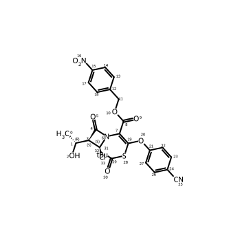 C[C@@H](O)[C@H]1C(=O)N(C(C(=O)OCc2ccc([N+](=O)[O-])cc2)=C(Oc2ccc(C#N)cc2)SC(=O)C(C)(C)C)[C@H]1Cl